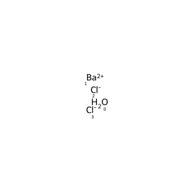 O.[Ba+2].[Cl-].[Cl-]